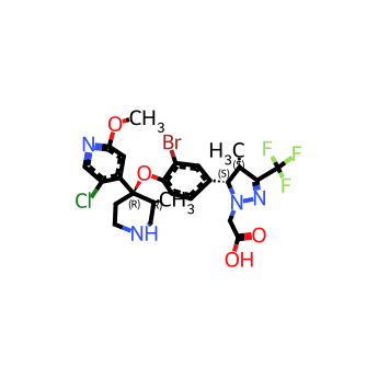 COc1cc([C@@]2(Oc3ccc([C@@H]4[C@H](C)C(C(F)(F)F)=NN4CC(=O)O)cc3Br)CCNC[C@H]2C)c(Cl)cn1